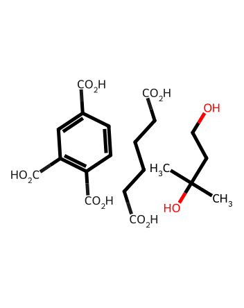 CC(C)(O)CCO.O=C(O)CCCCC(=O)O.O=C(O)c1ccc(C(=O)O)c(C(=O)O)c1